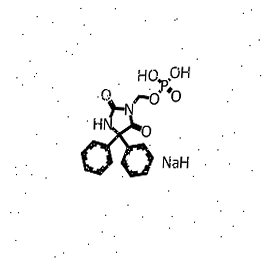 O=C1NC(c2ccccc2)(c2ccccc2)C(=O)N1COP(=O)(O)O.[NaH]